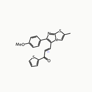 COc1ccc(-c2nc3sc(C)cn3c2/C=C/C(=O)c2cccs2)cc1